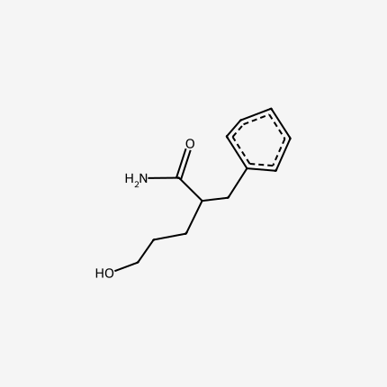 NC(=O)C(CCCO)Cc1ccccc1